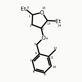 CCC1CC(OCc2ccccc2C)C(CC)O1